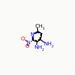 Cc1cc(N)c(N)c([N+](=O)[O-])n1